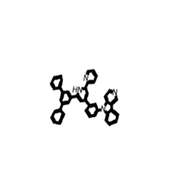 C1=C(c2cccc(-n3c4ccccc4c4cnccc43)c2)C=C(c2cc(-c3ccccc3)cc(-c3ccccc3)c2)NC1c1ccccn1